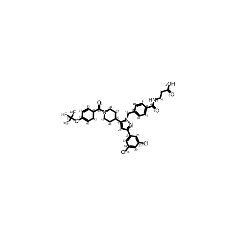 O=C(O)CCNC(=O)c1ccc(Cn2nc(-c3cc(Cl)cc(Cl)c3)cc2C2CCN(C(=O)C3C=CC(OC(F)(F)F)=CC3)CC2)cc1